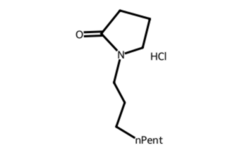 CCCCCCCCN1CCCC1=O.Cl